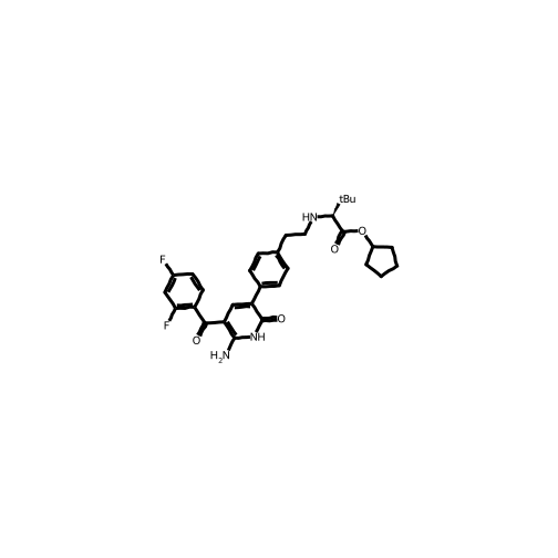 CC(C)(C)[C@H](NCCc1ccc(-c2cc(C(=O)c3ccc(F)cc3F)c(N)[nH]c2=O)cc1)C(=O)OC1CCCC1